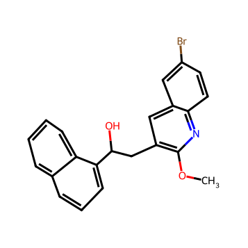 COc1nc2ccc(Br)cc2cc1CC(O)c1cccc2ccccc12